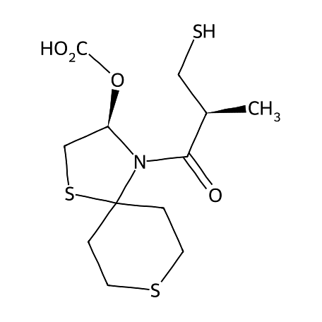 C[C@H](CS)C(=O)N1[C@H](OC(=O)O)CSC12CCSCC2